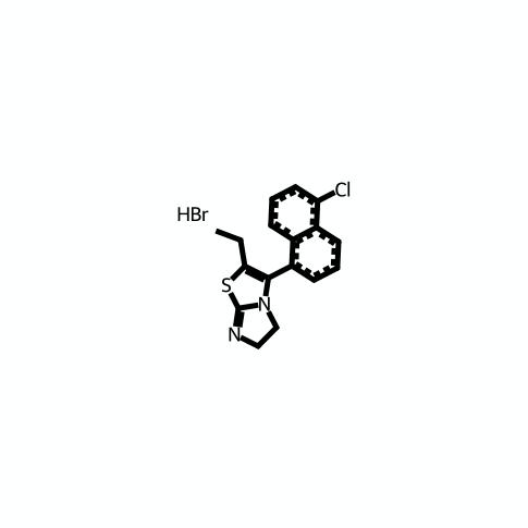 Br.CCC1=C(c2cccc3c(Cl)cccc23)N2CCN=C2S1